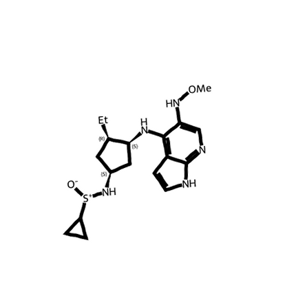 CC[C@@H]1C[C@H](N[S+]([O-])C2CC2)C[C@@H]1Nc1c(NOC)cnc2[nH]ccc12